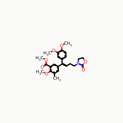 COC(=O)c1cc(C(=CCCN2CCOC2=O)c2ccc(OC)c(OC)c2)cc(C)c1OC